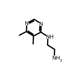 Cc1ncnc(NCCN)c1C